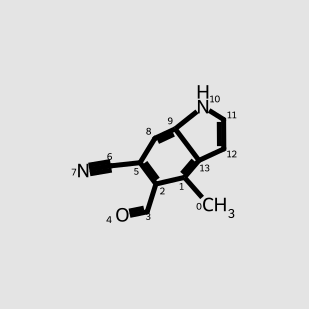 Cc1c(C=O)c(C#N)cc2[nH]ccc12